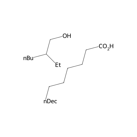 CCCCC(CC)CO.CCCCCCCCCCCCCCCC(=O)O